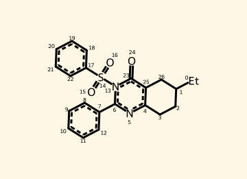 CCC1CCc2nc(-c3ccccc3)n(S(=O)(=O)c3ccccc3)c(=O)c2C1